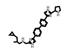 CC(CNCc1nc(-c2ccc(-c3ccc(-c4c[nH]c(C5CCCN5)n4)cc3)cc2)c[nH]1)CC1CC1